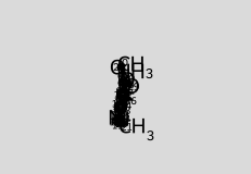 CC(=O)NC[C@H]1CN(c2ccc(N3CCN(c4nccc(C)n4)CC3)c(F)c2)C(=O)O1